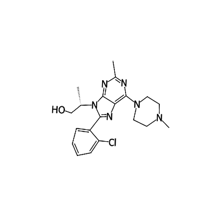 Cc1nc(N2CCN(C)CC2)c2nc(-c3ccccc3Cl)n([C@@H](C)CO)c2n1